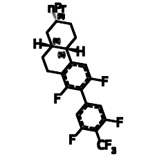 CCC[C@@H]1CC[C@@H]2c3cc(F)c(-c4cc(F)c(C(F)(F)F)c(F)c4)c(F)c3CC[C@@H]2C1